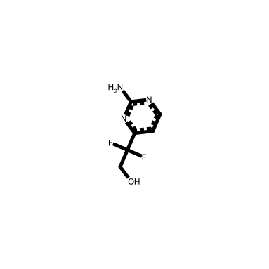 Nc1nccc(C(F)(F)CO)n1